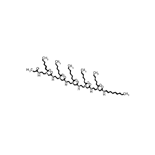 CCCCCCCCCNC(=O)CN(CCNC(=O)CN(CCNC(=O)CN(CCNC(=O)CN(CCNC(=O)CN(CCNC(=O)CC)C(=O)CCCCCC)C(=O)CCCCCC)C(=O)CCCCCC)C(=O)CCCCCC)C(=O)CCCCCC